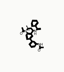 C=C(N[C@@H]1C[C@H](C)N(C(C)=O)c2ccc(-c3cccc(NC(C)=O)c3)cc21)c1ccccc1